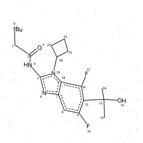 CC(C)(C)CC(=O)Nc1nc2cc(F)c(C(C)(C)O)c(F)c2n1C1CCC1